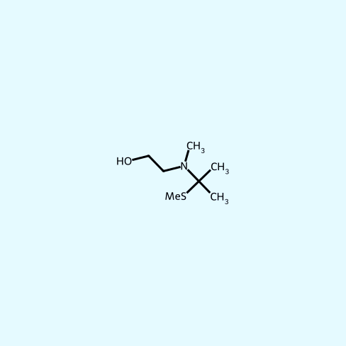 CSC(C)(C)N(C)CCO